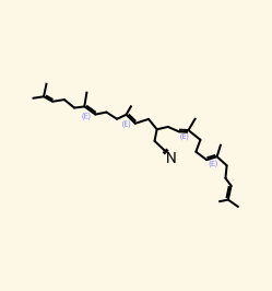 CC(C)=CCC/C(C)=C/CC/C(C)=C/CC(CC#N)C/C=C(\C)CC/C=C(\C)CCC=C(C)C